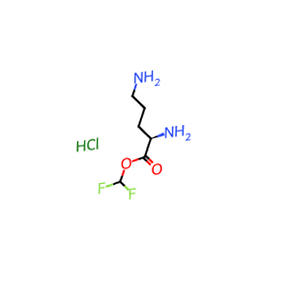 Cl.NCCC[C@@H](N)C(=O)OC(F)F